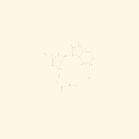 O=C1OC2CN1CCCOc1ccc3[nH]nc(c3c1)-c1cc(F)cc2c1